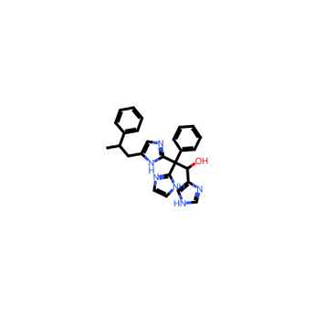 CC(Cc1cnc(C(c2ccccc2)(c2ncc[nH]2)C(O)c2c[nH]cn2)[nH]1)c1ccccc1